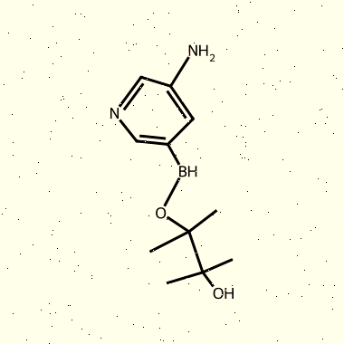 CC(C)(O)C(C)(C)OBc1cncc(N)c1